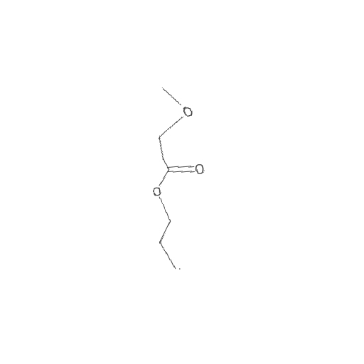 [CH2]CCOC(=O)COC